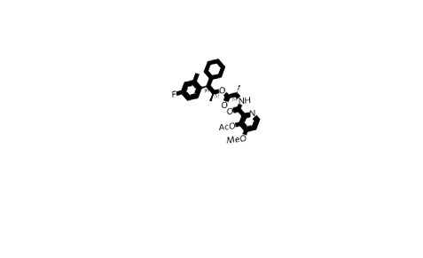 COc1ccnc(C(=O)N[C@@H](C)C(=O)O[C@@H](C)[C@@H](c2ccc(F)cc2C)C2CCCCC2)c1OC(C)=O